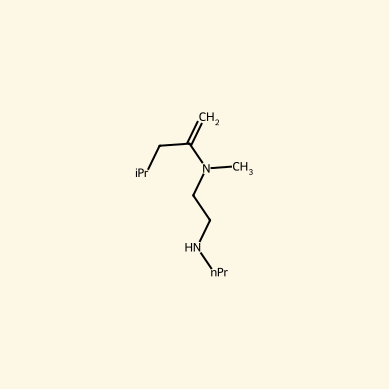 C=C(CC(C)C)N(C)CCNCCC